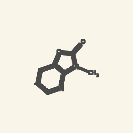 Cn1c(=O)oc2c[c]cnc21